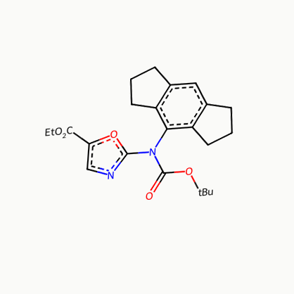 CCOC(=O)c1cnc(N(C(=O)OC(C)(C)C)c2c3c(cc4c2CCC4)CCC3)o1